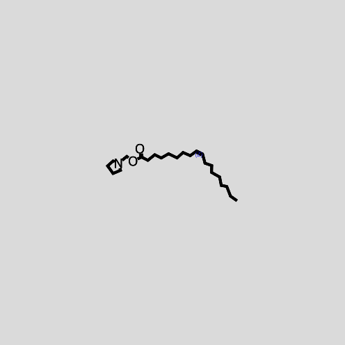 CCCCCCCC/C=C\CCCCCCCC(=O)OCN1CCCC1